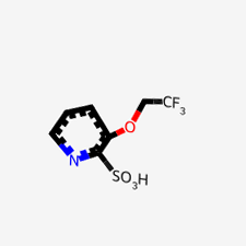 O=S(=O)(O)c1ncccc1OCC(F)(F)F